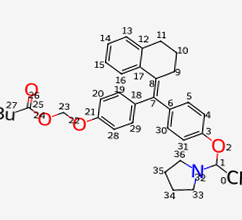 CC(Oc1ccc(C(=C2CCCc3ccccc32)c2ccc(OCOC(=O)C(C)(C)C)cc2)cc1)N1CCCC1